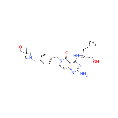 CCC[C@@H](CCO)Nc1nc(N)nc2ccn(Cc3ccc(CN4CC5(COC5)C4)cc3)c(=O)c12